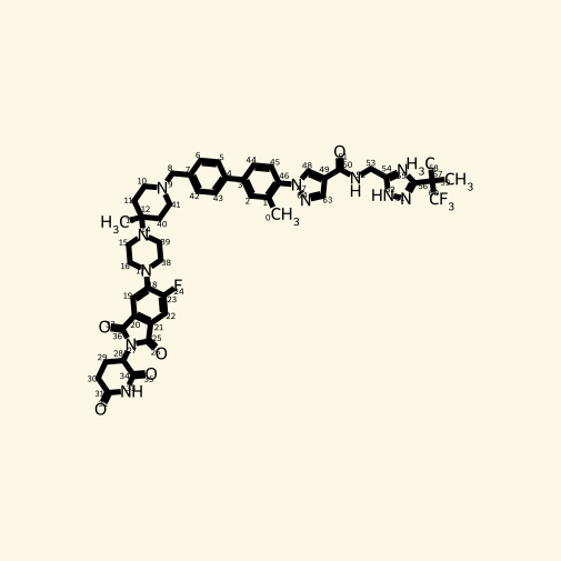 Cc1cc(-c2ccc(CN3CCC(C)(N4CCN(c5cc6c(cc5F)C(=O)N(C5CCC(=O)NC5=O)C6=O)CC4)CC3)cc2)ccc1-n1cc(C(=O)NCc2nc(C(C)(C)C(F)(F)F)n[nH]2)cn1